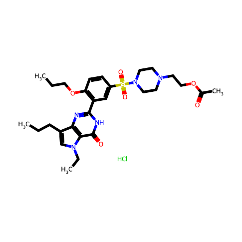 CCCOc1ccc(S(=O)(=O)N2CCN(CCOC(C)=O)CC2)cc1-c1nc2c(CCC)cn(CC)c2c(=O)[nH]1.Cl